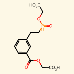 O=C(O)COC(=O)c1cccc(CC[PH](=O)OCC(=O)O)c1